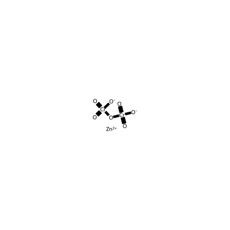 [O]=[Cr](=[O])([O-])[O][Cr](=[O])(=[O])[O-].[Zn+2]